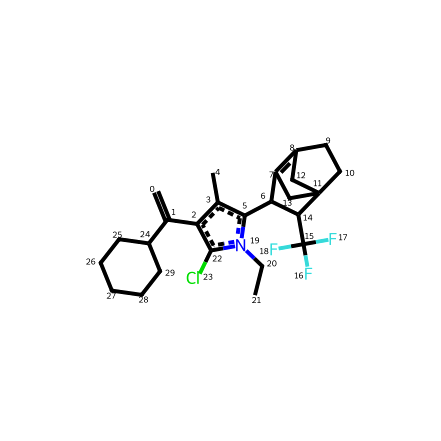 C=C(c1c(C)c(C2C3=C4CCC(C4)(C3)C2C(F)(F)F)n(CC)c1Cl)C1CCCCC1